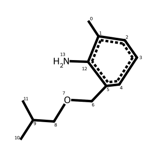 Cc1cccc(COCC(C)C)c1N